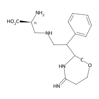 N=C1CCOCC(C(CNC[C@H](N)C(=O)O)c2ccccc2)N1